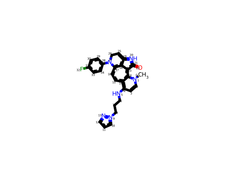 CN1C=CC(NCCCn2cccn2)=c2ccc3c4c([nH]c(=O)c-4c21)=CCN3c1ccc(F)cc1